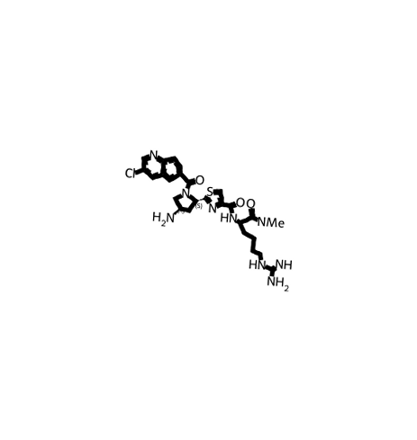 CNC(=O)C(CCCCNC(=N)N)NC(=O)c1csc([C@@H]2C[C@@H](N)CN2C(=O)c2ccc3ncc(Cl)cc3c2)n1